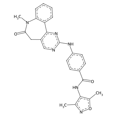 Cc1noc(C)c1NC(=O)c1ccc(Nc2ncc3c(n2)-c2ccccc2N(C)C(=O)C3)cc1